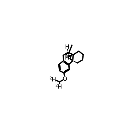 [2H]C([2H])Oc1ccc2c(c1)[C@@]13CCCC[C@H]1[C@@H](C2)N(C)CC3